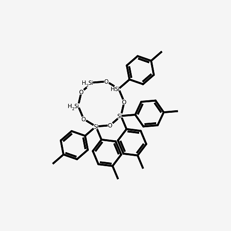 Cc1ccc([SiH]2O[SiH2]O[SiH2]O[Si](c3ccc(C)cc3)(c3ccc(C)cc3)O[Si](c3ccc(C)cc3)(c3ccc(C)cc3)O2)cc1